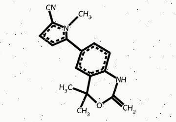 C=C1Nc2ccc(-c3ccc(C#N)n3C)cc2C(C)(C)O1